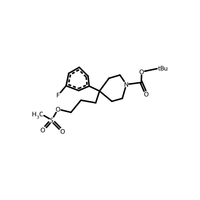 CC(C)(C)OC(=O)N1CCC(CCCOS(C)(=O)=O)(c2cccc(F)c2)CC1